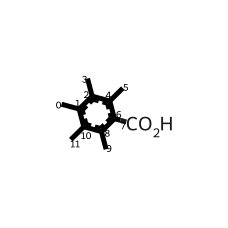 Cc1c(C)c(C)c(C(=O)O)c(C)c1C